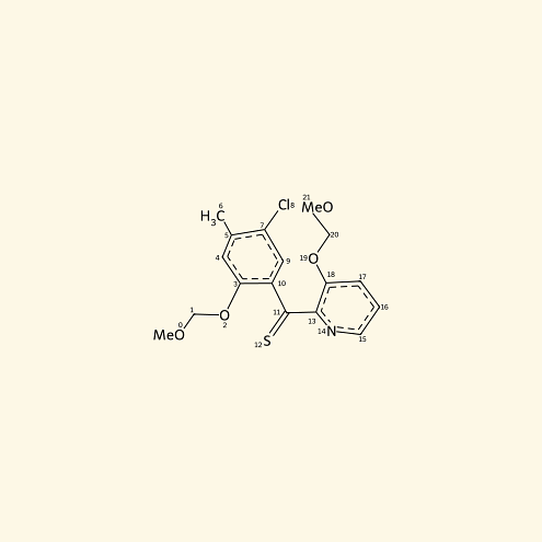 COCOc1cc(C)c(Cl)cc1C(=S)c1ncccc1OCOC